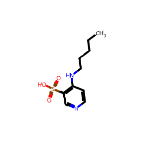 CCCCCNc1ccncc1S(=O)(=O)O